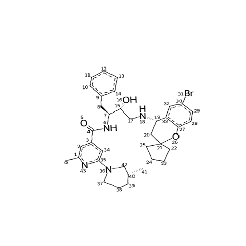 Cc1cc(C(=O)N[C@@H](Cc2ccccc2)[C@H](O)CN[C@H]2CC3(CCCC3)Oc3ccc(Br)cc32)cc(N2CCC[C@@H](C)C2)n1